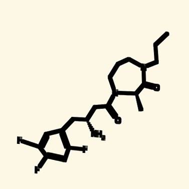 CCCN1CCCN(C(=O)C[C@H](N)Cc2cc(F)c(F)cc2F)[C@H](C)C1=O